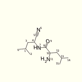 CC(C)CC(C#N)NC(=O)C(N)CC(C)C